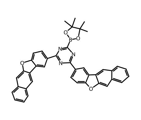 CC1(C)OB(c2nc(-c3ccc4oc5cc6ccccc6cc5c4c3)nc(-c3ccc4oc5cc6ccccc6cc5c4c3)n2)OC1(C)C